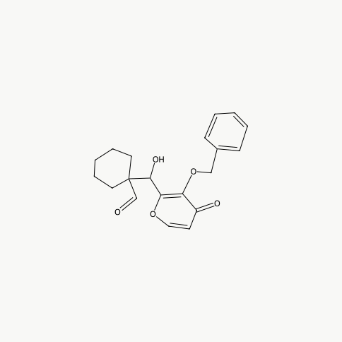 O=CC1(C(O)c2occc(=O)c2OCc2ccccc2)CCCCC1